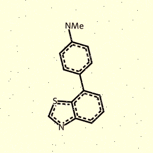 CNc1ccc(-c2cccc3ncsc23)cc1